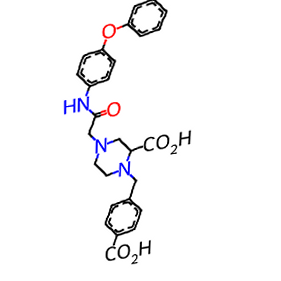 O=C(CN1CCN(Cc2ccc(C(=O)O)cc2)C(C(=O)O)C1)Nc1ccc(Oc2ccccc2)cc1